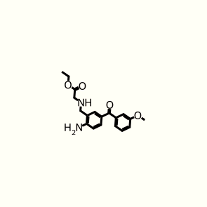 CCOC(=O)CNCc1cc(C(=O)c2cccc(OC)c2)ccc1N